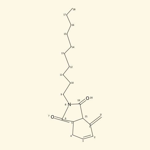 C=C1C=CCC2C(=O)N(CCCCCCCCCC)C(=O)C12